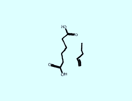 C=CCC.O=C(O)CCCCC(=O)O